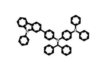 c1ccc(C(c2ccccc2)N(c2ccc(-c3ccc4c5ccccc5n(-c5ccccc5)c4c3)cc2)c2ccc(N(c3ccccc3)c3ccccc3)cc2)cc1